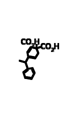 CC(C1=CCC(C(=O)O)(C(=O)O)C=C1)c1ccccc1